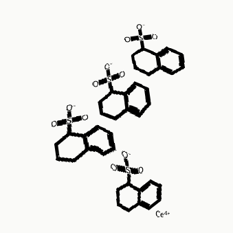 O=S(=O)([O-])C1CCCc2ccccc21.O=S(=O)([O-])C1CCCc2ccccc21.O=S(=O)([O-])C1CCCc2ccccc21.O=S(=O)([O-])C1CCCc2ccccc21.[Ce+4]